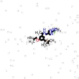 C=C(NCc1cnc(C(C)(N)F)nc1)c1cc(OCC(C)CCCC)cc(C(=C)S/C(C)=C\C)c1